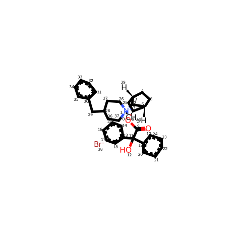 C[N+]1(C2[C@H]3CC[C@@H]2[C@H](OC(=O)C(O)(c2ccccc2)c2ccccc2)C3)CCC(Cc2ccccc2)CC1.[Br-]